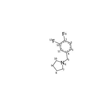 Fc1ccc(CN2CCCC2)cc1F